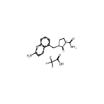 NC(=O)[C@@H]1CCN(Cc2cccc3nc(N)ccc23)C1=O.O=C(O)C(F)(F)F